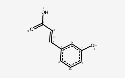 O=C(O)/C=C/c1[c]c(O)ccc1